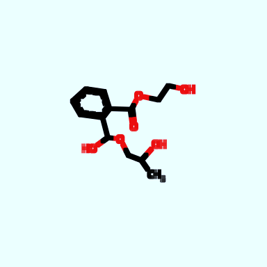 CC(O)COC(O)c1ccccc1C(=O)OCCO